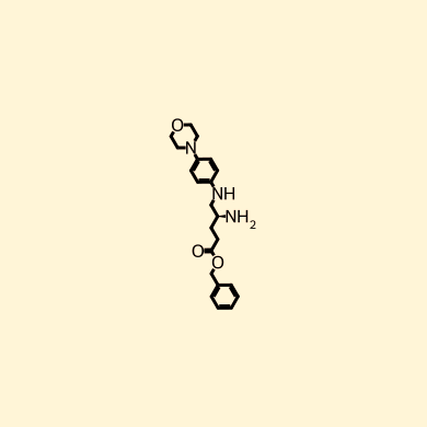 N[C@@H](CCC(=O)OCc1ccccc1)CNc1ccc(N2CCOCC2)cc1